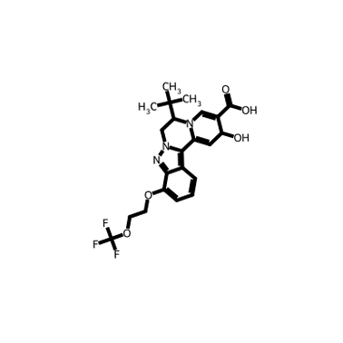 CC(C)(C)C1Cn2nc3c(OCCOC(F)(F)F)cccc3c2C2=CC(O)C(C(=O)O)=CN21